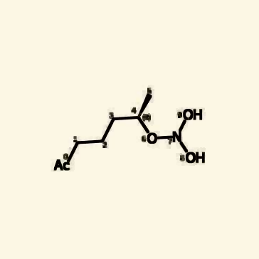 CC(=O)CCC[C@@H](C)ON(O)O